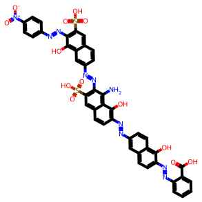 Nc1c(N=Nc2ccc3cc(S(=O)(=O)O)c(N=Nc4ccc([N+](=O)[O-])cc4)c(O)c3c2)c(S(=O)(=O)O)cc2ccc(N=Nc3ccc4c(O)c(N=Nc5ccccc5C(=O)O)ccc4c3)c(O)c12